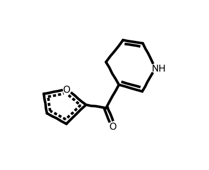 O=C(C1=CNC=CC1)c1ccco1